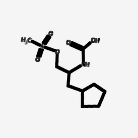 CS(=O)(=O)OCC(CC1CCCC1)NC(=O)O